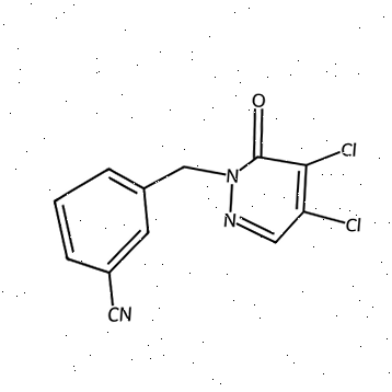 N#Cc1cccc(Cn2ncc(Cl)c(Cl)c2=O)c1